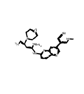 CN/C=C(\C=N)c1cnc2ccc(N/C(N)=C/C(=C\N)N3CCOCC3)nc2c1